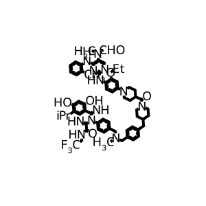 CCOc1cc(N2CCC(C(=O)N3CCC(Cc4ccc(CN(C)Cc5ccc(N(C(=N)C(=O)NCC(F)(F)F)C(=N)c6cc(C(C)C)c(O)cc6O)cc5)cc4)CC3)CC2)ccc1Nc1ncc(N(C)C=O)c(Nc2ccccc2C)n1